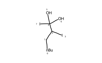 CCCCCC(I)C(O)(O)I